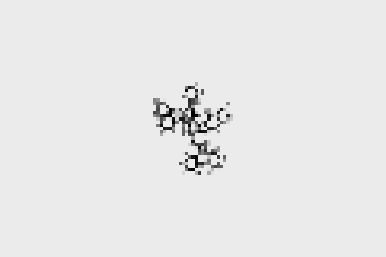 C1=CCC2C=c3c4c(n(C5=NC(C6C=CC=CC6)NC(c6cccc7ccccc67)N5)c3=CC2=C1)CCC(N1c2ccccc2C2C=CC=CC21)=C4